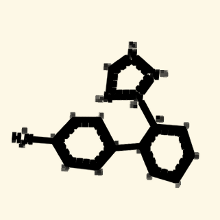 Nc1ccc(-c2ccccc2-n2ncnn2)cc1